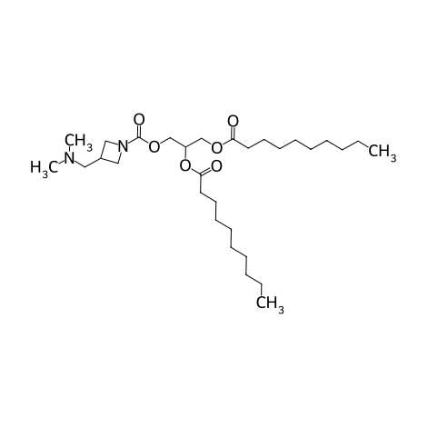 CCCCCCCCCC(=O)OCC(COC(=O)N1CC(CN(C)C)C1)OC(=O)CCCCCCCCC